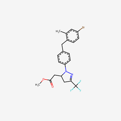 COC(=O)CC1CC(C(F)(F)F)=NN1c1ccc(Cc2ccc(Br)cc2C)cc1